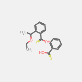 CCOC(C)c1ccccc1C(O)=S.OC(=S)c1ccccc1